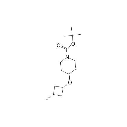 CC(C)(C)OC(=O)N1CCC(O[C@H]2C[C@@H](C)C2)CC1